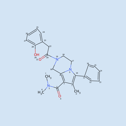 Cc1c(C(=O)N(C)C)c2n(c1-c1ccccc1)CCN(C(=O)Cc1ccccc1O)C2